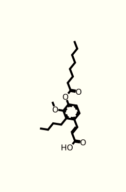 CCCCCCCC(=O)Oc1ccc(C=CC(=O)O)c(CCCC)c1OC